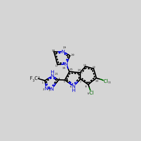 FC(F)(F)c1nnc(-c2[nH]c3c(Cl)c(Cl)ccc3c2-n2ccnc2)[nH]1